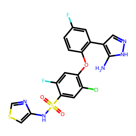 Nc1[nH]ncc1-c1cc(F)ccc1Oc1cc(F)c(S(=O)(=O)Nc2cscn2)cc1Cl